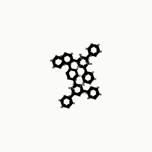 C1=CC(c2c(-c3nc(-c4ccccc4)nc(-c4ccccc4)n3)ccc3ccccc23)CC=C1c1nc(-c2ccccc2)cc(-c2ccccc2)n1